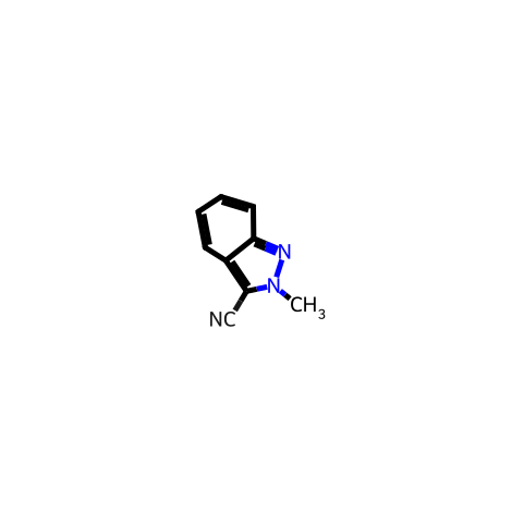 Cn1nc2ccccc2c1C#N